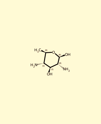 C[C@H]1O[C@@H](O)[C@H](N)[C@@H](O)[C@@H]1N